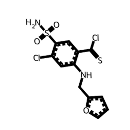 NS(=O)(=O)c1cc(C(=S)Cl)c(NCc2ccco2)cc1Cl